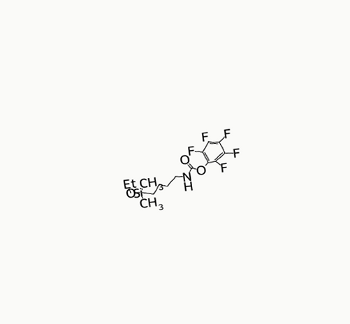 CCO[Si](C)(C)CCCCNC(=O)Oc1c(F)c(F)c(F)c(F)c1F